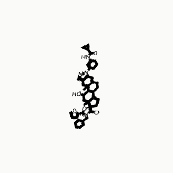 CC12Cc3cnn(-c4cccc(NC(=O)C5CC5)c4)c3C=C1CCC1C2C(O)CC2(C)C1CC[C@]2(OC(=O)c1ccco1)C(=O)NCc1ccccc1